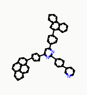 c1cncc(-c2ccc(-c3nc(-c4ccc(-c5cc6ccccc6c6ccccc56)cc4)cc(-c4ccc(-c5ccc6ccc7cccc8ccc5c6c78)cc4)n3)cc2)c1